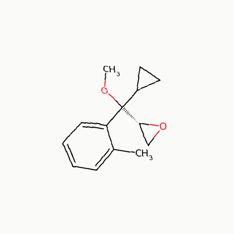 COC(c1ccccc1C)(C1CC1)[C@H]1CO1